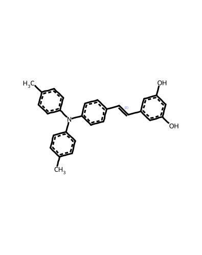 Cc1ccc(N(c2ccc(C)cc2)c2ccc(/C=C/c3cc(O)cc(O)c3)cc2)cc1